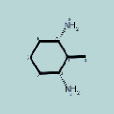 CC1[C@H](N)CCC[C@@H]1N